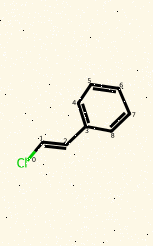 ClC=Cc1cc[c]cc1